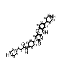 O=C(CCN1CCNCC1)N[C@H]1CC[C@H](n2cc3c(nc2=O)Nc2cc(C4CCNCC4)ccc2O3)CC1